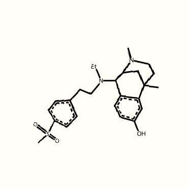 CCN(CCc1ccc(S(C)(=O)=O)cc1)C1c2ccc(O)cc2C2(C)CCN(C)C1C2